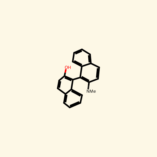 CNc1ccc2ccccc2c1-c1c(O)ccc2ccccc12